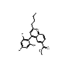 CCCCc1cc(-c2c(F)cc(F)cc2F)c2cc(C(=O)OC)ccc2n1